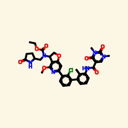 CCOC(=O)N(CC1CCC(=O)N1)C1COc2cc(-c3cccc(-c4cccc(NC(=O)c5cn(C)c(=O)n(C)c5=O)c4C)c3Cl)nc(OC)c21